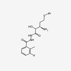 Cc1c(F)cccc1C(=O)NNC(=O)C(O)[C@H](N)CCSC(C)C